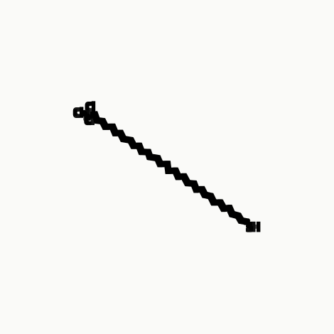 SCCCCCCCCCCCCCCCCCCCCCCCCCCCCCCCCCCC[Si](Cl)(Cl)Cl